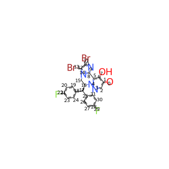 O=c1cnn2c(c1O)-c1nc(Br)c(Br)n1C[C@@H]2C(c1ccc(F)cc1)c1ccc(F)cc1